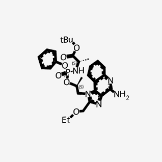 CCOCc1nc2c(N)nc3ccccc3c2n1C[C@H](C)O[P@](=O)(N[C@@H](C)C(=O)OC(C)(C)C)Oc1ccccc1